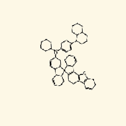 C1=Cc2c(sc3c2CCC2=C3C3C=CCCC3C23C2CCC=CC2C2C=CC(N(C4=CC=C(C5CCCC6CCCCC65)CC4)C4CCCCC4)CC23)CC1